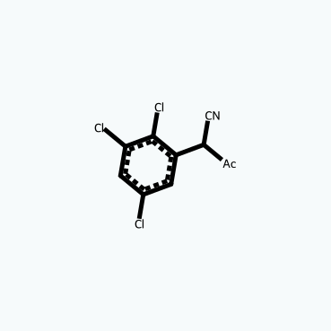 CC(=O)C(C#N)c1cc(Cl)cc(Cl)c1Cl